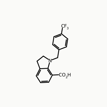 O=C(O)c1cccc2c1N(Cc1ccc(C(F)(F)F)cc1)CC2